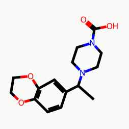 CC(c1ccc2c(c1)OCCO2)N1CCN(C(=O)O)CC1